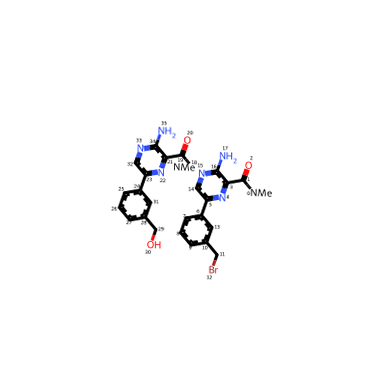 CNC(=O)c1nc(-c2cccc(CBr)c2)cnc1N.CNC(=O)c1nc(-c2cccc(CO)c2)cnc1N